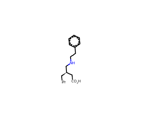 CC(C)C[C@@H](CNCCc1ccccc1)CC(=O)O